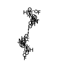 CC[C@H](NC)C(=O)N[C@@H](Cc1ccc(OCC#CC#CCOc2ccc(C[C@H](NC(=O)[C@H](CC)NC)C(=O)N3CC(C)(C)c4[nH]c(=O)c(Cc5ccc(F)cc5)cc43)c(C)c2C)c(C)c1C)C(=O)N1CC(C)(C)c2[nH]c(=O)c(Cc3ccc(F)cc3)cc21